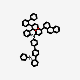 c1ccc(-c2ccccc2-c2ccccc2-c2ccccc2N(c2ccc(-c3ccc4c5ccccc5n(-c5ccccc5)c4c3)cc2)c2ccc(-c3cccc4c3ccc3ccccc34)cc2)cc1